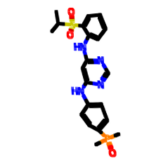 CC(C)S(=O)(=O)c1ccccc1Nc1cc(Nc2ccc(P(C)(C)=O)cc2)ncn1